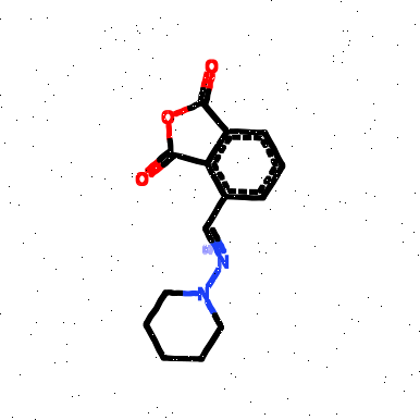 O=C1OC(=O)c2c(/C=N/N3CCCCC3)cccc21